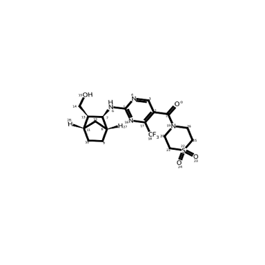 O=C(c1cnc(N[C@H]2[C@@H]3CC[C@@H](C3)[C@H]2CO)nc1C(F)(F)F)N1CCS(=O)(=O)CC1